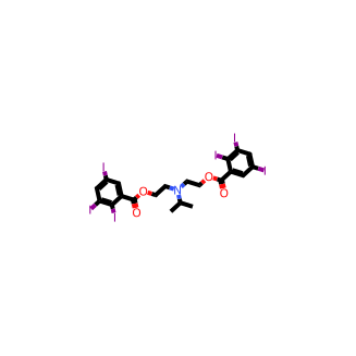 CC(C)N(CCOC(=O)c1cc(I)cc(I)c1I)CCOC(=O)c1cc(I)cc(I)c1I